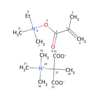 C=C(C)C(=O)O[N+](C)(C)CC.CC(C(=O)[O-])(C(=O)[O-])[N+](C)(C)C